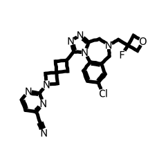 N#Cc1ccnc(N2CC3(CC(c4nnc5n4-c4ccc(Cl)cc4CN(CC4(F)COC4)C5)C3)C2)n1